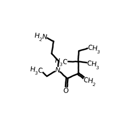 C=C(C(=O)N(CC)CCCN)C(C)(C)CC